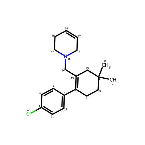 CC1(C)CCC(c2ccc(Cl)cc2)=C(CN2CC=[C]CC2)C1